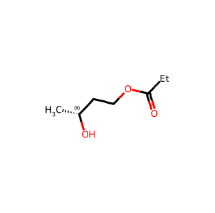 CCC(=O)OCC[C@@H](C)O